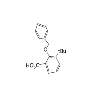 CC(C)(C)c1cccc(C(=O)O)c1OCc1ccccc1